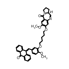 COc1ccc(C=C2c3ccccc3C(=O)c3ccccc32)cc1OCCCCCOc1cc2c(cc1OC)C(=O)N1CCC[C@H]1C=N2